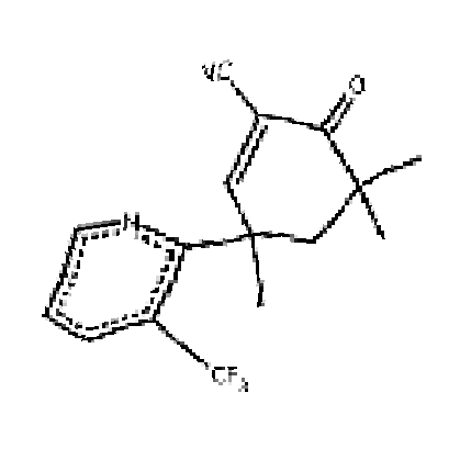 CC1(C)CC(C)(c2ncccc2C(F)(F)F)C=C(C#N)C1=O